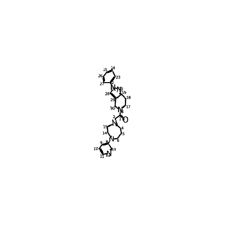 O=C(CN1CCCN(c2cccnc2)CC1)N1CCc2nn(-c3ccccc3)cc2C1